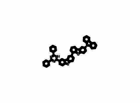 c1ccc(C2=NC(c3ccc4sc5ccc(-c6cccc7c6oc6ccc(-n8c9ccccc9c9ccccc98)cc67)cc5c4c3)NC(c3ccccc3)=N2)cc1